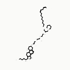 CCCCC/C=C\C/C=C\CCCCCCCCOCC(CN1CCCCC1)OCCNC(=O)COCC(=O)O[C@H]1CC[C@@]2(C)C(=CC[C@H]3[C@@H]4CC[C@H]([C@H](C)CCCC(C)C)[C@@]4(C)CC[C@@H]32)C1